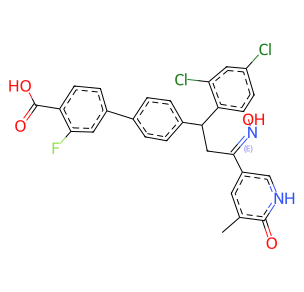 Cc1cc(/C(CC(c2ccc(-c3ccc(C(=O)O)c(F)c3)cc2)c2ccc(Cl)cc2Cl)=N/O)c[nH]c1=O